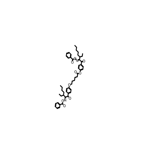 CCCCCC(CC)/C(=N\OC(=O)c1ccccc1)C(=O)c1ccc(OC(=O)CCCCCOc2ccc(C(=O)/C(=N/OC(=O)c3ccccc3)C(CC)CCCC)cc2)cc1